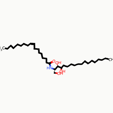 CCCCCCCC/C=C\CCCCCCCC(=O)N[C@@H](CO)[C@H](O)C(O)CCCCCCCCCCCCCC